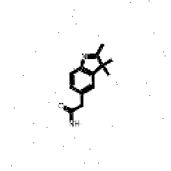 CC1=Nc2ccc(CC([NH])=O)cc2C1(C)C